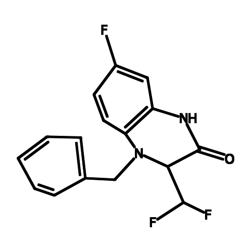 O=C1Nc2cc(F)ccc2N(Cc2ccccc2)C1C(F)F